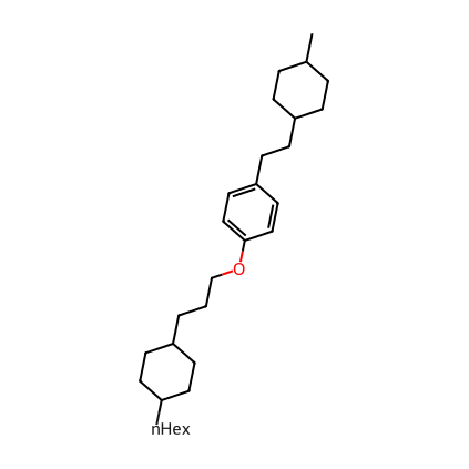 CCCCCCC1CCC(CCCOc2ccc(CCC3CCC(C)CC3)cc2)CC1